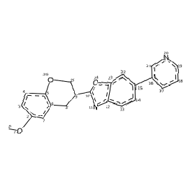 COc1ccc2c(c1)CC(c1nc3ccc(-c4cccnc4)cc3o1)CO2